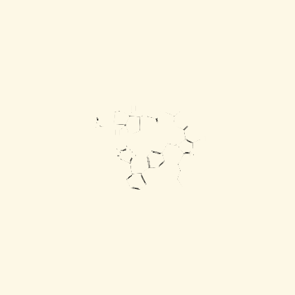 CCCCc1nc(Cl)c(C(=O)OC(C)OC(=O)O[C@H]2CO[C@H]3[C@@H]2OC[C@H]3O[N+](=O)[O-])n1Cc1ccc(-c2ccccc2-c2nnn[nH]2)cc1